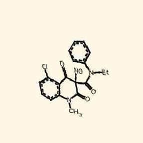 CCN(C(=O)C1(N=O)C(=O)c2c(Cl)cccc2N(C)C1=O)c1ccccc1